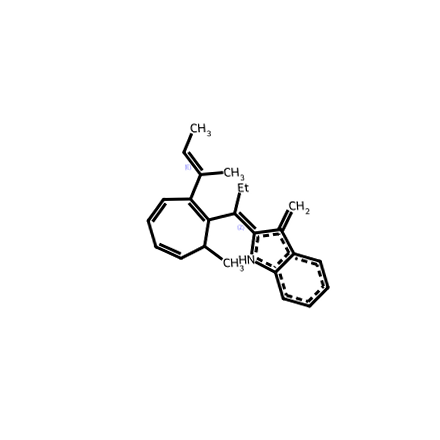 C=c1/c(=C(\CC)C2=C(/C(C)=C/C)C=CC=CC2C)[nH]c2ccccc12